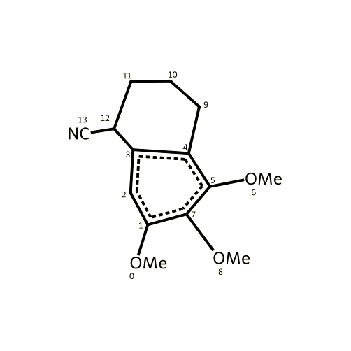 COc1cc2c(c(OC)c1OC)CCCC2C#N